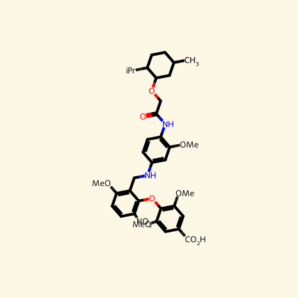 COc1cc(NCc2c(OC)ccc([N+](=O)[O-])c2Oc2c(OC)cc(C(=O)O)cc2OC)ccc1NC(=O)COC1CC(C)CCC1C(C)C